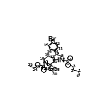 CCCCOC(=O)NCC(c1ccc(Br)cc1)C1CCN(C(=O)OCC)C([Si](C)(C)C)C1